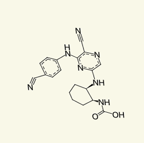 N#Cc1ccc(Nc2nc(N[C@@H]3CCCC[C@@H]3NC(=O)O)cnc2C#N)cc1